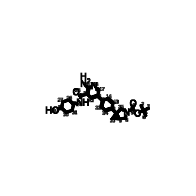 CC(C)(C)OC(=O)N1CC2CC2(c2ccc(-c3cnc(N)c(C(=O)NC4CCC(O)CC4)c3)cc2)C1